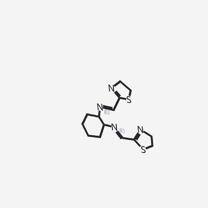 C(=N\C1CCCCC1/N=C/C1=NCCS1)/C1=NCCS1